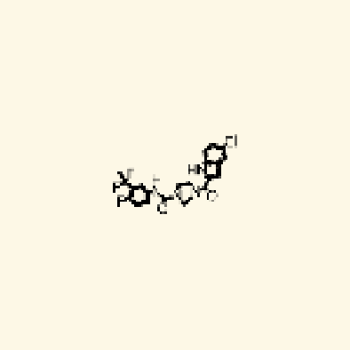 CC(F)(F)c1cc(NC(=O)N2CCN(C(=O)c3cc4cc(Cl)ccc4[nH]3)CC2)ccc1F